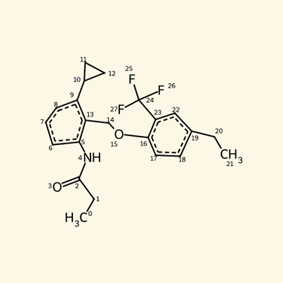 CCC(=O)Nc1cccc(C2CC2)c1COc1ccc(CC)cc1C(F)(F)F